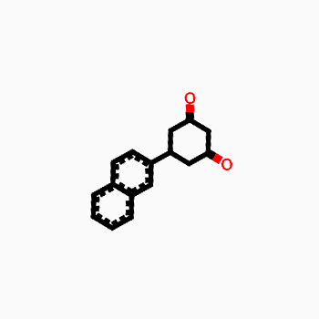 O=C1CC(=O)CC(c2ccc3ccccc3c2)C1